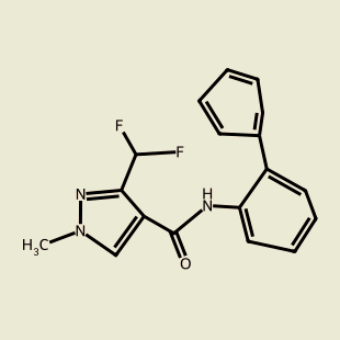 Cn1cc(C(=O)Nc2ccccc2-c2ccccc2)c(C(F)F)n1